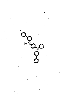 C1=CCCC(N(c2ccc(Nc3cccc(-c4ccccc4)c3)cc2)c2ccc(-c3ccccc3)cc2)=C1